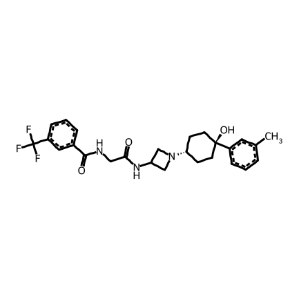 Cc1cccc([C@]2(O)CC[C@H](N3CC(NC(=O)CNC(=O)c4cccc(C(F)(F)F)c4)C3)CC2)c1